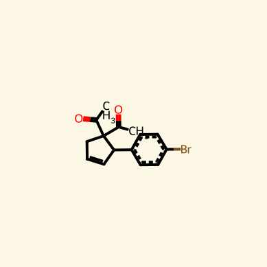 CC(=O)C1(C(C)=O)CC=CC1c1ccc(Br)cc1